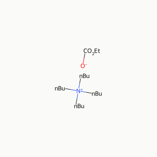 CCCC[N+](CCCC)(CCCC)CCCC.CCOC(=O)[O-]